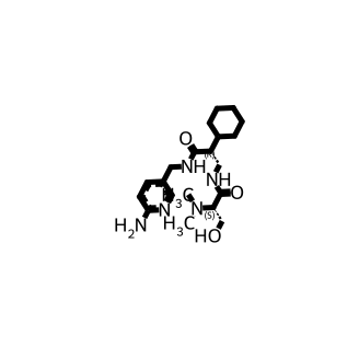 CN(C)[C@@H](CO)C(=O)NC[C@H](C(=O)NCc1ccc(N)nc1)C1CCCCC1